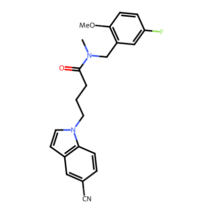 COc1ccc(F)cc1CN(C)C(=O)CCCn1ccc2cc(C#N)ccc21